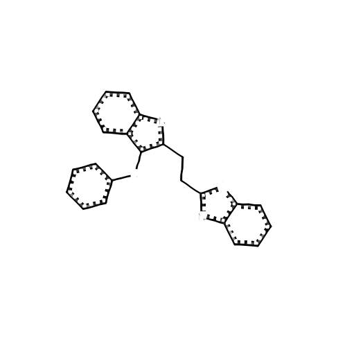 c1ccc(Sc2c(CCc3nc4ccccc4o3)[nH]c3ccccc23)cc1